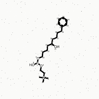 C[N+](C)(C)CCOP(O)OCCCCC(O)CCCCc1ccccc1